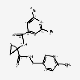 Cc1cnc(CNC(=O)C2(NC(=O)c3cc(C(C)(C)C)nc(C(C)(C)C)c3)CC2)cn1